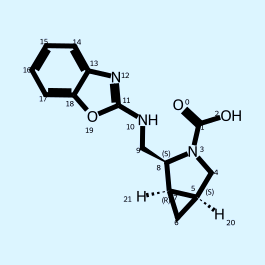 O=C(O)N1C[C@H]2C[C@H]2[C@H]1CNc1nc2ccccc2o1